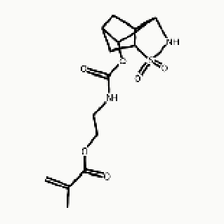 C=C(C)C(=O)OCCNC(=O)OC1C2CC3C1NS(=O)(=O)C3C2